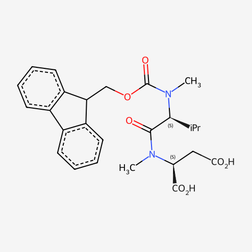 CC(C)[C@@H](C(=O)N(C)[C@@H](CC(=O)O)C(=O)O)N(C)C(=O)OCC1c2ccccc2-c2ccccc21